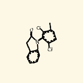 Cc1ccc(Cl)c(N2C(=O)Cc3ccccc32)c1Cl